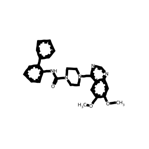 COc1cc2ncnc(N3CCN(C(=O)Nc4ccccc4-c4ccccc4)CC3)c2cc1OC